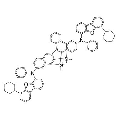 C[Si](C)(C)C1([Si](C)(C)C)c2cc3cc(N(c4ccccc4)c4cccc5c4oc4c(C6CCCCC6)cccc45)ccc3cc2-c2c1c1ccc(N(c3ccccc3)c3cccc4c3oc3c(C5CCCCC5)cccc34)cc1c1ccccc21